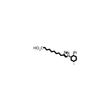 CC(C)[C@@H]1CC[C@H](C)C[C@H]1n1cc(CCCCCCCCC(=O)O)nn1